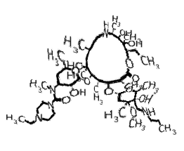 CCCNC[C@]1(O)[C@H](C)O[C@@H](O[C@H]2[C@H](C)[C@@H](O[C@@H]3O[C@H](C)C[C@H](N(C)C(=O)N4CCN(CC)CC4)[C@H]3O)[C@](C)(O)C[C@@H](C)CN[C@H](C)[C@@H](O)[C@](C)(O)[C@@H](CC)OC(=O)[C@@H]2C)C[C@@]1(C)OC